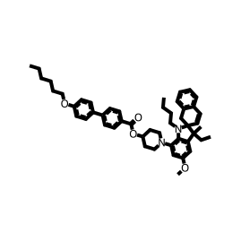 CCCCCCOc1ccc(-c2ccc(C(=O)OC3CCN(c4cc(OC)cc5c4N(CCCC)C4(C=Cc6ccccc6C4)C5(C)CC)CC3)cc2)cc1